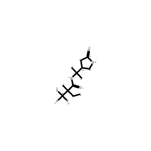 CCC(C)(C(=O)OC(C)(C)C1COC(=O)C1)C(F)(F)F